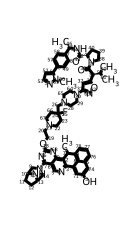 CC1c2c(ncc3c(N4CC5CCC(C4)N5)nc(OCCN4CCC(F)(CN5CCN(c6cc([C@@H](C(=O)N7CCC[C@H]7C(=O)N[C@@H](C)c7ccc(-c8ccnn8C)cc7)C(C)C)on6)CC5)CC4)nc23)-c2cc(O)cc3cccc1c23